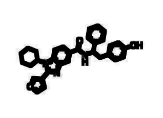 O=C(NC(Cc1ccc(O)cc1)c1ccccc1)c1ccc2c(c1)nc(-c1ccoc1)n2C1CCCCC1